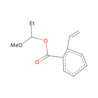 C=Cc1ccccc1C(=O)OC(CC)OC